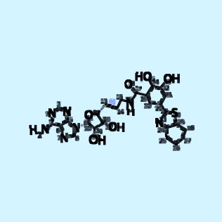 Nc1ncnc2c1ncn2[C@@H]1O[C@H](/C=C/CNC(=O)c2cc(-c3nc4ccccc4s3)cc(O)c2O)[C@H](O)C1O